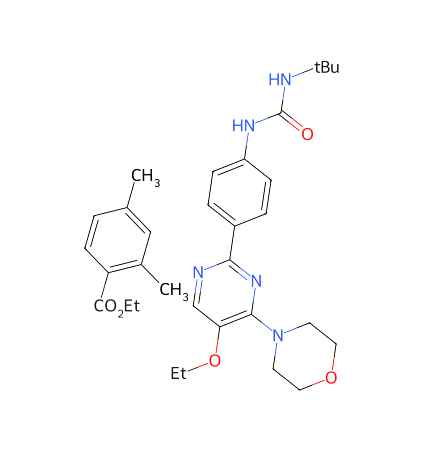 CCOC(=O)c1ccc(C)cc1C.CCOc1cnc(-c2ccc(NC(=O)NC(C)(C)C)cc2)nc1N1CCOCC1